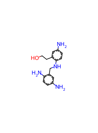 Nc1ccc(N)c(CNc2ccc(N)cc2CCO)c1